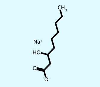 CCCCCCC(O)CC(=O)[O-].[Na+]